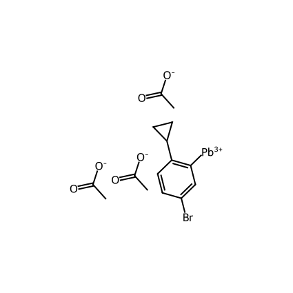 Brc1ccc(C2CC2)[c]([Pb+3])c1.CC(=O)[O-].CC(=O)[O-].CC(=O)[O-]